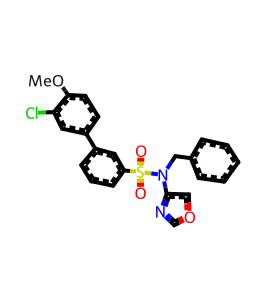 COc1ccc(-c2cccc(S(=O)(=O)N(Cc3ccccc3)c3cocn3)c2)cc1Cl